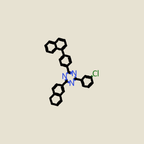 Clc1cccc(-c2nc(-c3ccc(-c4cccc5ccccc45)cc3)nc(-c3ccc4c(c3)C=CCC4)n2)c1